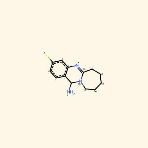 NC1c2ccc(F)cc2N=C2CCCCCN21